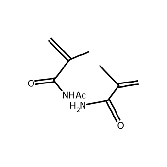 C=C(C)C(=O)NC(C)=O.C=C(C)C(N)=O